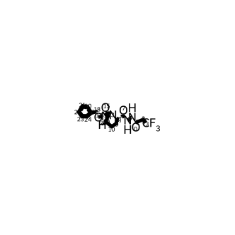 O=C(CC(F)(F)F)NNC(=O)[C@@H]1CC[C@H]2CN1C(=O)N2OCc1ccccc1